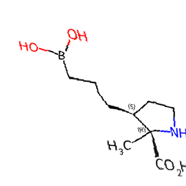 C[C@@]1(C(=O)O)NCC[C@@H]1CCCB(O)O